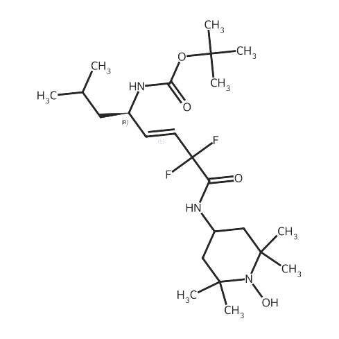 CC(C)C[C@H](/C=C/C(F)(F)C(=O)NC1CC(C)(C)N(O)C(C)(C)C1)NC(=O)OC(C)(C)C